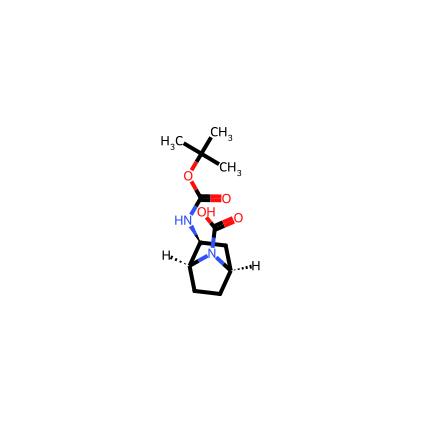 CC(C)(C)OC(=O)N[C@H]1C[C@H]2CC[C@@H]1N2C(=O)O